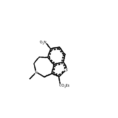 CCOC(=O)c1sc2ccc([N+](=O)[O-])c3c2c1CN(C)CC3